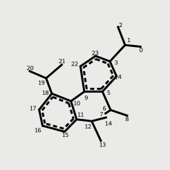 CC(C)c1[c]c(C(C)C)c(-c2c(C(C)C)cccc2C(C)C)cc1